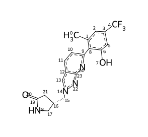 Cc1cc(C(F)(F)F)cc(O)c1-c1ccc2cn(C[C@@H]3CNC(=O)C3)nc2n1